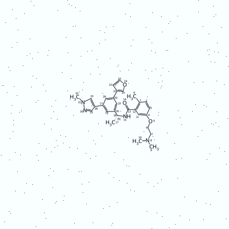 Cc1ccc(OCCN(C)C)cc1C(=O)N[C@H](C)c1cc(-c2ccoc2)cc(-c2cnn(C)c2)c1